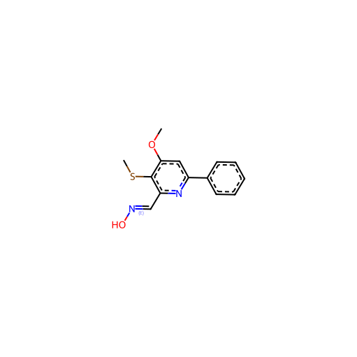 COc1cc(-c2ccccc2)nc(/C=N/O)c1SC